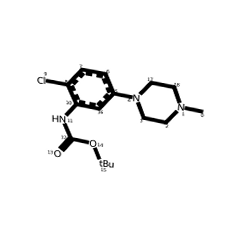 CN1CCN(c2ccc(Cl)c(NC(=O)OC(C)(C)C)c2)CC1